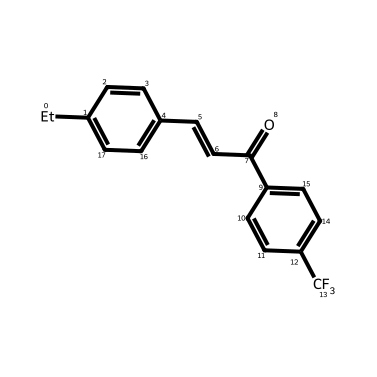 CCc1ccc(/C=C/C(=O)c2ccc(C(F)(F)F)cc2)cc1